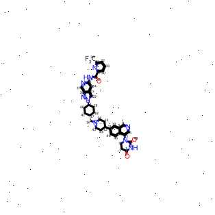 O=C1CCN(c2cncc3cc(C4CCN(C[C@H]5CC[C@H](n6cc7cc(NC(=O)c8cccc(C(F)(F)F)n8)ncc7n6)CC5)CC4)ccc23)C(=O)N1